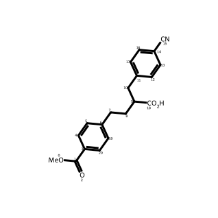 COC(=O)c1ccc(CCC(Cc2ccc(C#N)cc2)C(=O)O)cc1